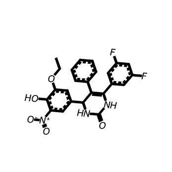 CCOc1cc(C2NC(=O)NC(c3cc(F)cc(F)c3)=C2c2ccccc2)cc([N+](=O)[O-])c1O